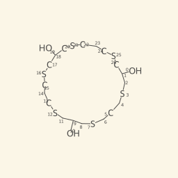 OC1CSCCCSCC(O)CSCCCSCC(O)CSCCCSC1